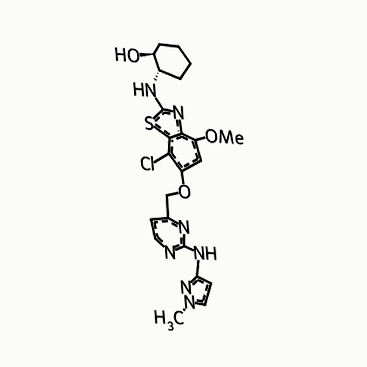 COc1cc(OCc2ccnc(Nc3ccn(C)n3)n2)c(Cl)c2sc(N[C@H]3CCCC[C@@H]3O)nc12